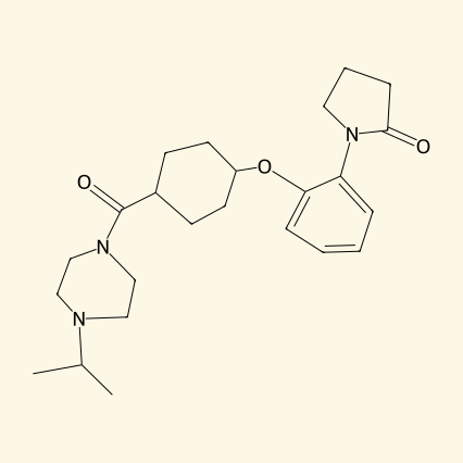 CC(C)N1CCN(C(=O)C2CCC(Oc3ccccc3N3CCCC3=O)CC2)CC1